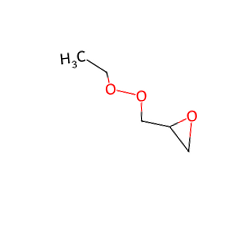 CCOOCC1CO1